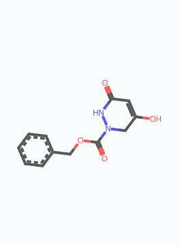 O=C1C=C(O)CN(C(=O)OCc2ccccc2)N1